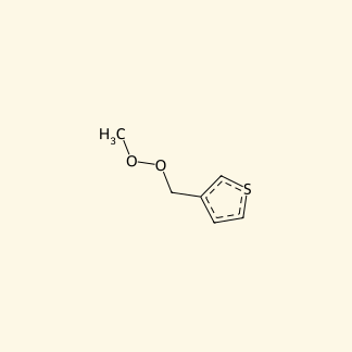 COOCc1ccsc1